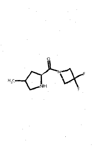 CC1CN[C@H](C(=O)N2CC(F)(F)C2)C1